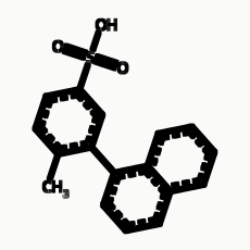 Cc1ccc(S(=O)(=O)O)cc1-c1cccc2ccccc12